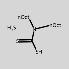 CCCCCCCCN(CCCCCCCC)C(=S)S.S